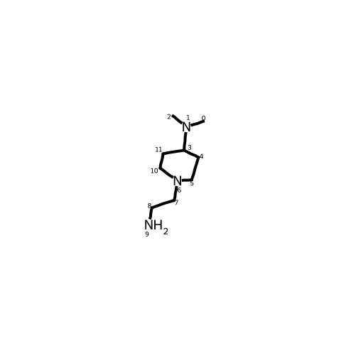 CN(C)C1CCN(CCN)CC1